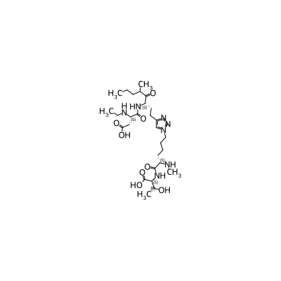 CCCC(C)C(=O)[C@H](CCc1cn(CCCC[C@H](NC)C(=O)N[C@H](C(=O)O)[C@@H](C)O)nn1)NC(=O)[C@H](CC(=O)O)NCC